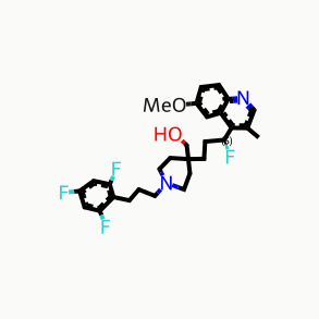 COc1ccc2ncc(C)c([C@@H](F)CCC3(CO)CCN(CCCc4c(F)cc(F)cc4F)CC3)c2c1